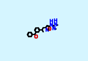 CN=C(NC)Nc1cc(CC(C)c2cccc(C(=O)c3ccccc3)c2)no1